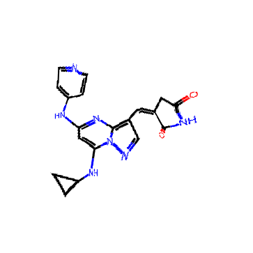 O=C1CC(=Cc2cnn3c(NC4CC4)cc(Nc4ccncc4)nc23)C(=O)N1